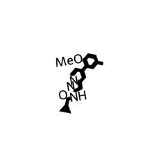 COc1ccc(C)cc1-c1ccn2nc(NC(=O)C3CC3)cc2c1